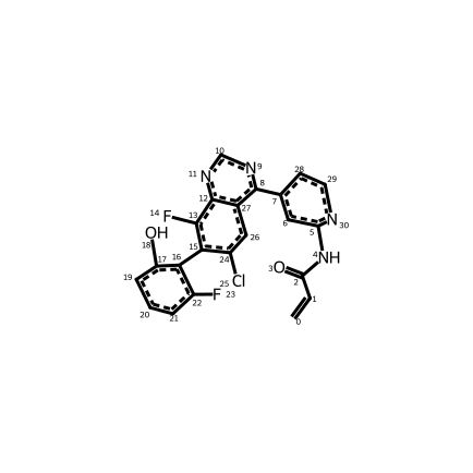 C=CC(=O)Nc1cc(-c2ncnc3c(F)c(-c4c(O)cccc4F)c(Cl)cc23)ccn1